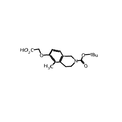 Cc1c(OCC(=O)O)ccc2c1CCN(C(=O)OC(C)(C)C)C2